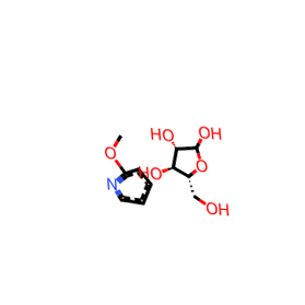 COc1ccccn1.OC[C@H]1OC(O)[C@@H](O)[C@@H]1O